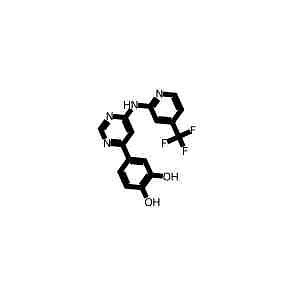 Oc1ccc(-c2cc(Nc3cc(C(F)(F)F)ccn3)ncn2)cc1O